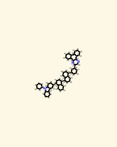 c1ccc(-n2c3ccccc3c3cc(-c4ccc(-c5cccc6c(-c7cccc(-c8cnc9c%10ccccc%10c%10ccccc%10c9n8)c7)cccc56)c5ccccc45)ccc32)cc1